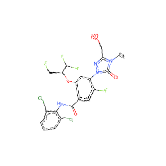 CCn1c(CO)nn(-c2cc(O[C@@H](CF)C(F)F)c(C(=O)Nc3c(Cl)cccc3Cl)cc2F)c1=O